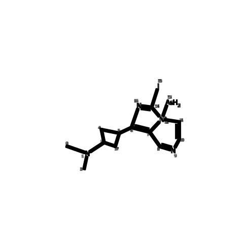 CN(C)C1CC(C2=C3C=NC=C[N+]3([AsH2])C(I)=N2)C1